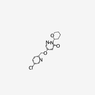 O=c1cc(OCc2ccc(Cl)cn2)cnn1C1CCCCO1